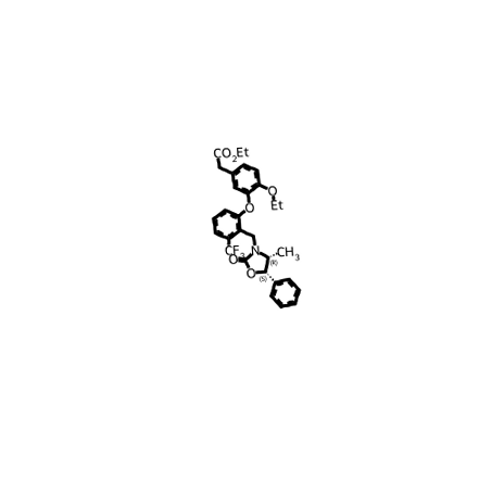 CCOC(=O)Cc1ccc(OCC)c(Oc2cccc(C(F)(F)F)c2CN2C(=O)O[C@@H](c3ccccc3)[C@H]2C)c1